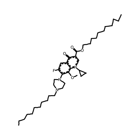 CCCCCCCCCCCOC(=O)c1cn(C2CC2)c2c(OC)c(N3CCN(CCCCCCCCCCC)CC3)c(F)cc2c1=O